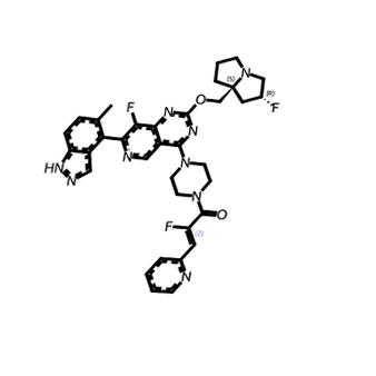 Cc1ccc2[nH]ncc2c1-c1ncc2c(N3CCN(C(=O)/C(F)=C/c4ccccn4)CC3)nc(OC[C@@]34CCCN3C[C@H](F)C4)nc2c1F